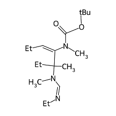 CC/C=C(/N(C)C(=O)OC(C)(C)C)C(C)(CC)N(C)/C=N\CC